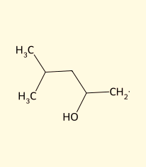 [CH2]C(O)CC(C)C